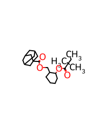 CCC(C)(C)C(=O)OC1CCCCC1COC(=O)C12CC3CC(CC(C3)C1)C2